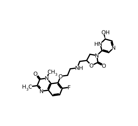 Cc1nc2ccc(F)c(OCCNCC3CN(C4=CN=C[C@H](O)N4)C(=O)O3)c2n(C)c1=O